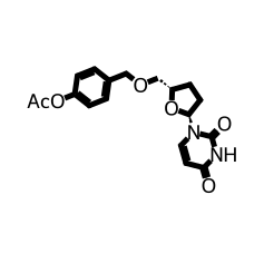 CC(=O)Oc1ccc(COC[C@@H]2CC[C@H](n3ccc(=O)[nH]c3=O)O2)cc1